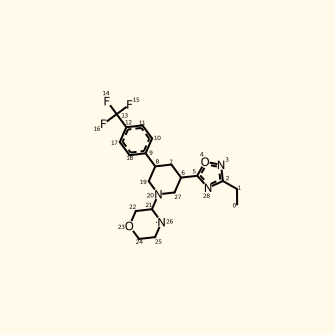 CCc1noc(C2CC(c3ccc(C(F)(F)F)cc3)CN(C3COCC[N]3)C2)n1